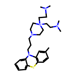 Cc1ccc2c(c1)N(CCCN1CC[N+](CCN(C)C)(CCN(C)C)CC1)c1ccccc1S2